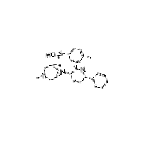 CN1CC2CC(C1)N(c1ccc(-c3ccccc3)nn1)C2.Cc1ccc(S(=O)(=O)O)cc1